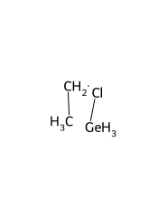 [CH2]C.[Cl][GeH3]